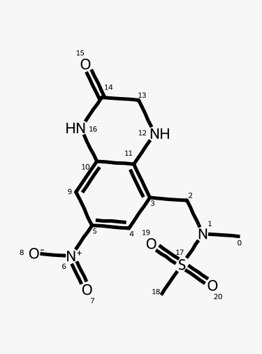 CN(Cc1cc([N+](=O)[O-])cc2c1NCC(=O)N2)S(C)(=O)=O